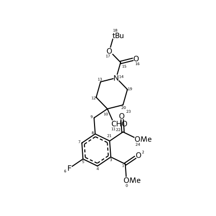 COC(=O)c1cc(F)cc(CC2(C=O)CCN(C(=O)OC(C)(C)C)CC2)c1C(=O)OC